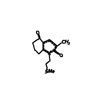 CSCCn1c2c(cc(C)c1=O)C(=O)CCC2